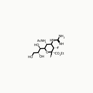 CCOC(=O)[C@]1(F)OC([C@H](O)[C@H](O)CO)[C@H](NC(C)=O)C(NC(=N)N)[C@@H]1F